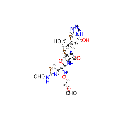 O=CNc1nc(C(=NOCCOC=O)C(=O)NC2C(=O)N3CC(C(=O)O)(C(CCO)Sc4nnn[nH]4)CS[C@H]23)cs1